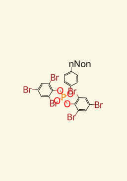 CCCCCCCCCc1ccc(OP(=O)(Oc2c(Br)cc(Br)cc2Br)Oc2c(Br)cc(Br)cc2Br)cc1